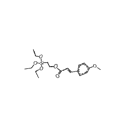 CCO[Si](CCOC(=O)/C=C/c1ccc(OC)cc1)(OCC)OCC